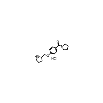 Cl.O=C(c1ccc(OCC2CCCN2)cc1)N1CCCC1